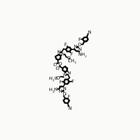 COCCn1c(Cc2cc(F)c(-c3cc(N)nc(OCc4ccc(C#N)cc4F)n3)cc2F)nc2ccc(C(=O)OC(=O)c3ccc4nc(Cc5cc(F)c(-c6cc(N)nc(OCc7ccc(C#N)cc7F)n6)cc5F)n(CCOC)c4c3)cc21